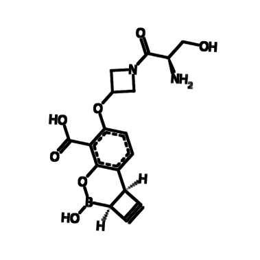 N[C@H](CO)C(=O)N1CC(Oc2ccc3c(c2C(=O)O)OB(O)[C@@H]2C#C[C@H]32)C1